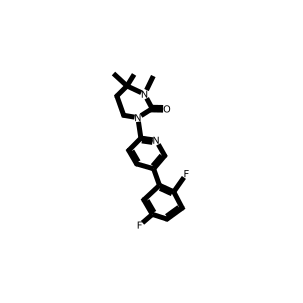 CN1C(=O)N(c2ccc(-c3cc(F)ccc3F)cn2)CCC1(C)C